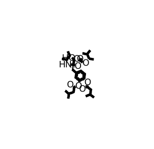 CCC(C)N[C@@](Cc1ccc(OC(=O)CC(C)C)c(OC(=O)CC(C)C)c1)(OC(=O)OC(C)C(C)C)C(=O)O